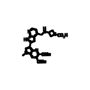 COc1cc2c(nc1OC)c(-c1cc3c(CNC4CN(C(=O)O)C4)ccnc3[nH]1)cn2C